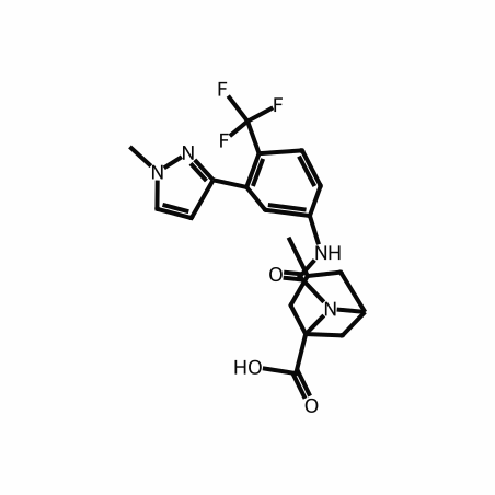 CC1CC2CC(C(=O)O)(C1)N2C(=O)Nc1ccc(C(F)(F)F)c(-c2ccn(C)n2)c1